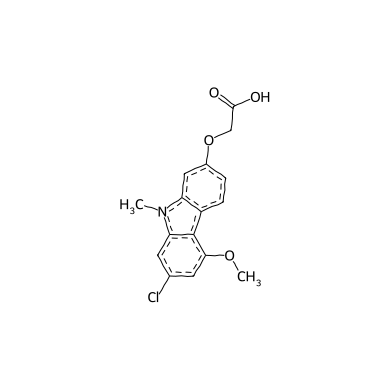 COc1cc(Cl)cc2c1c1ccc(OCC(=O)O)cc1n2C